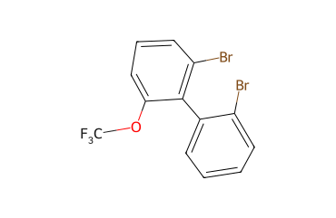 FC(F)(F)Oc1cccc(Br)c1-c1ccccc1Br